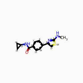 CNc1nc(-c2ccc(C(=O)NC3CC3)cc2)cs1